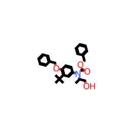 CC(CO)N(C(=O)OCc1ccccc1)c1ccc(OCc2ccccc2)c(C(C)(C)C)c1